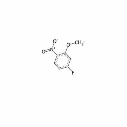 [CH2]Oc1cc(F)ccc1[N+](=O)[O-]